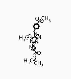 COC(=O)c1ccc(Cn2cnc3nc(-n4cc(C(=O)OCC(C)C)cn4)nc(OC)c32)cc1